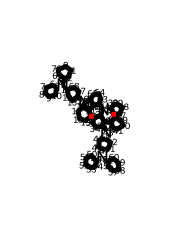 c1ccc(N(c2ccccc2)c2ccc(-n3c4ccccc4c4c(N(c5ccccc5)c5cccc6c5c5ccccc5n6-c5ccc(N(c6ccccc6)c6ccccc6)cc5)cccc43)cc2)cc1